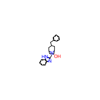 OC1CC2CC(Cc3ccccc3)CC1N2Cc1nc2ccccc2[nH]1